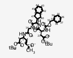 C[S+]([O-])/C=C/C(CC(=O)OC(C)(C)C)NC(=O)CNC(=O)C(NC(=O)[C@H](CC(=O)OC(C)(C)C)NC(=O)OCc1ccccc1)C1Cc2ccccc2C1